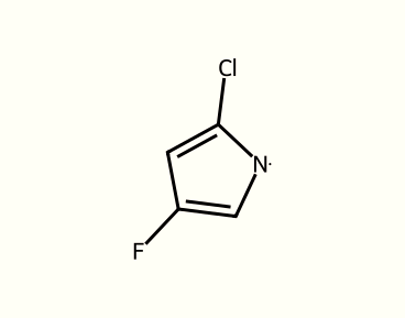 FC1=C[N]C(Cl)=C1